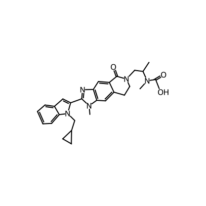 CC(CN1CCc2cc3c(cc2C1=O)nc(-c1cc2ccccc2n1CC1CC1)n3C)N(C)C(=O)O